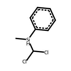 C[SiH](c1ccccc1)C(Cl)Cl